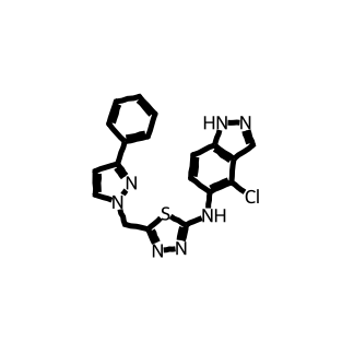 Clc1c(Nc2nnc(Cn3ccc(-c4ccccc4)n3)s2)ccc2[nH]ncc12